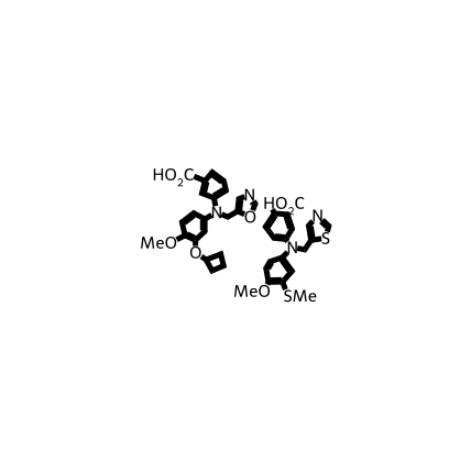 COc1ccc(N(Cc2cnco2)c2cccc(C(=O)O)c2)cc1OC1CCC1.COc1ccc(N(Cc2cncs2)c2ccc(C(=O)O)cc2)cc1SC